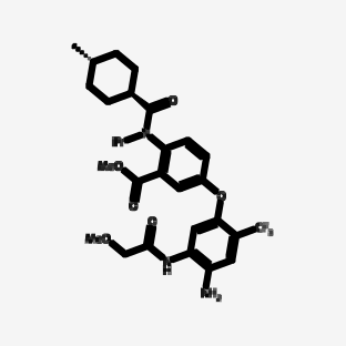 COCC(=O)Nc1cc(Oc2ccc(N(C(=O)[C@H]3CC[C@H](C)CC3)C(C)C)c(C(=O)OC)c2)c(C(F)(F)F)cc1N